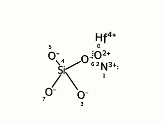 [Hf+4].[N+3].[O+2].[O-][Si]([O-])([O-])[O-]